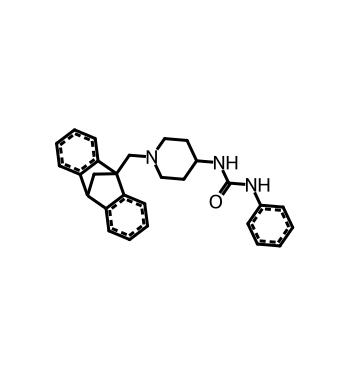 O=C(Nc1ccccc1)NC1CCN(CC23CC(c4ccccc42)c2ccccc23)CC1